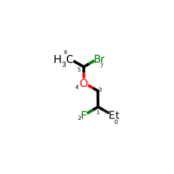 CCC(F)COC(C)Br